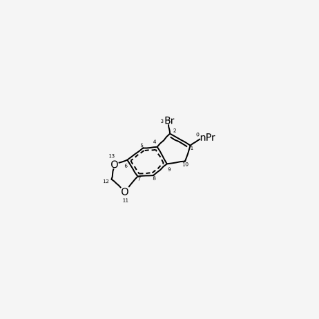 CCCC1=C(Br)c2cc3c(cc2C1)OCO3